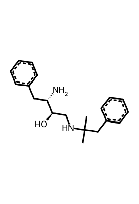 CC(C)(Cc1ccccc1)NC[C@@H](O)[C@@H](N)Cc1ccccc1